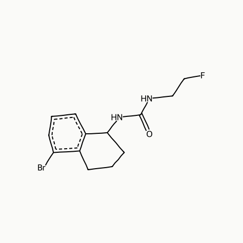 O=C(NCCF)NC1CCCc2c(Br)cccc21